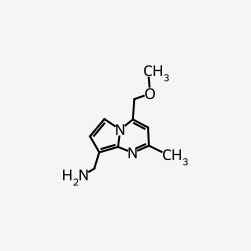 COCc1cc(C)nc2c(CN)ccn12